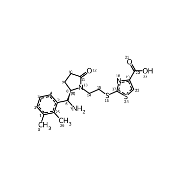 Cc1cccc(C(N)[C@H]2CCC(=O)N2CCSc2nc(C(=O)O)cs2)c1C